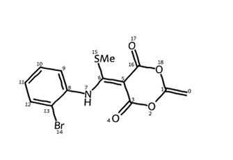 C=c1oc(=O)c(=C(Nc2ccccc2Br)SC)c(=O)o1